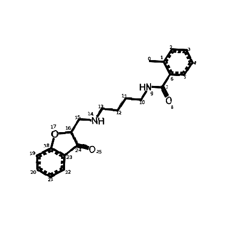 Cc1ccccc1C(=O)NCCCCNCC1Oc2ccccc2C1=O